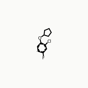 Fc1[c]cc(OC2CCCC2)c(Cl)c1